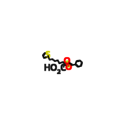 O=C(O)C(CCCCCCc1cccs1)S(=O)(=O)/C=C/c1ccccc1